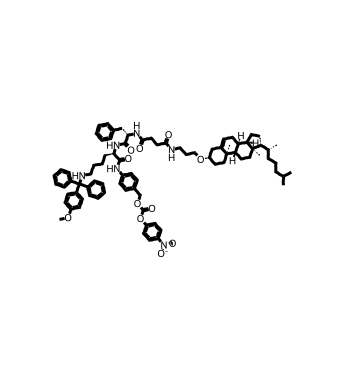 COc1ccc(C(NCCCC[C@@H](NC(=O)[C@H](Cc2ccccc2)NC(=O)CCC(=O)NCCCO[C@H]2CC[C@@]3(C)C(=CC[C@H]4[C@@H]5CC[C@H]([C@H](C)CCCC(C)C)[C@@]5(C)CC[C@@H]43)C2)C(=O)Nc2ccc(COC(=O)Oc3ccc([N+](=O)[O-])cc3)cc2)(c2ccccc2)c2ccccc2)cc1